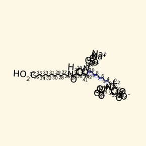 CC1(C)C(/C=C/C=C/C=C/C=C2/N(CCS(=O)(=O)[O-])c3ccc(C(=O)NCCCCCCCCCCCC(=O)O)cc3C2(C)C)=[N+](CCS(=O)(=O)[O-])c2ccc(S(=O)(=O)[O-])cc21.[Na+].[Na+]